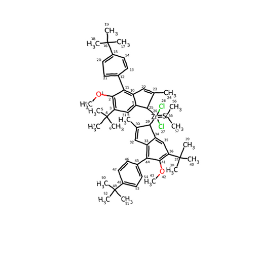 COc1c(C(C)(C)C)cc2c(c1-c1ccc(C(C)(C)C)cc1)C=C(C)[CH]2[Zr]([Cl])([Cl])([CH]1C(C)=Cc2c1cc(C(C)(C)C)c(OC)c2-c1ccc(C(C)(C)C)cc1)=[Si](C)C